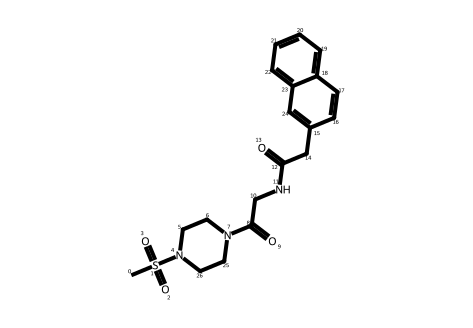 CS(=O)(=O)N1CCN(C(=O)CNC(=O)Cc2ccc3ccccc3c2)CC1